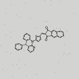 O=C1C(=Cc2ccc(N3c4ccccc4C(c4ccccc4)c4cccnc43)s2)C(=O)c2cc3ccccc3cc21